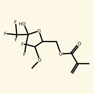 C=C(C)C(=O)OCC1OC(O)(C(F)(F)F)C(F)(F)C1OC